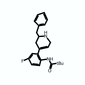 CC(C)(C)C(=O)Nc1ccc(F)cc1C1=CCNC(Cc2ccccc2)C1